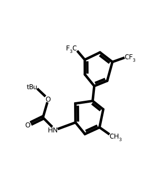 Cc1cc(NC(=O)OC(C)(C)C)cc(-c2cc(C(F)(F)F)cc(C(F)(F)F)c2)c1